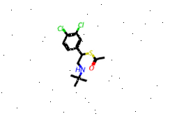 CC(=O)SC(CNC(C)(C)C)c1ccc(Cl)c(Cl)c1